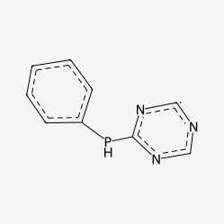 [c]1ncnc(Pc2ccccc2)n1